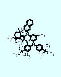 Cc1cc2c3c(c1)N(c1ccc4ccccc4c1)c1c(oc4c1C(C)(C)CCC4(C)C)B3c1cc(C(C)(C)C)ccc1N2c1ccc(C(C)(C)C)cc1